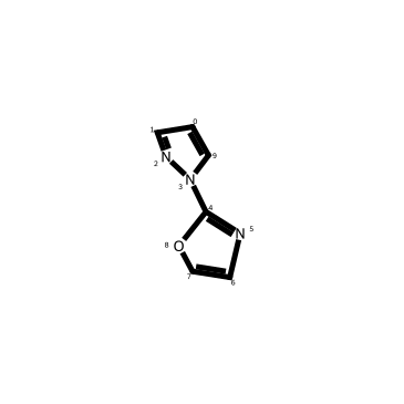 c1cnn(-c2ncco2)c1